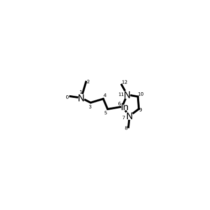 CN(C)CC[CH2][In]1[N](C)CC[N]1C